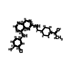 CC(=O)N1CCC(CNc2ncc3ncnc(Nc4ccc(F)c(Cl)c4)c3n2)CC1